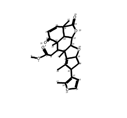 COC(=O)CC1C2(C)C3=C(C)C(c4ccoc4C)CC3OC2C2OC(=O)C3(C)C=CC(=O)C1(C)C23